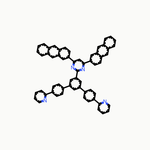 c1ccc(-c2ccc(-c3cc(-c4ccc(-c5ccccn5)cc4)cc(-c4nc(-c5ccc6cc7ccccc7cc6c5)cc(-c5ccc6cc7ccccc7cc6c5)n4)c3)cc2)nc1